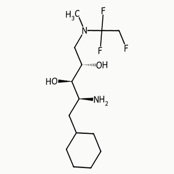 CN(C[C@H](O)[C@H](O)[C@@H](N)CC1CCCCC1)C(F)(F)CF